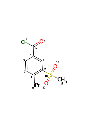 CC(C)c1ccc(C(=O)Cl)cc1S(C)(=O)=O